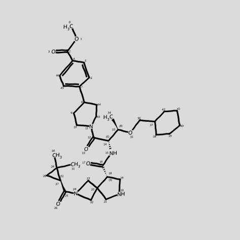 COC(=O)c1ccc(C2CCN(C(=O)[C@@H](NC(=O)[C@@H]3CNCC34CN(C(=O)[C@H]3CC3(C)C)C4)[C@@H](C)OCC3CCCCC3)CC2)cc1